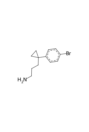 NCCCC1(c2ccc(Br)cc2)CC1